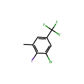 Cc1cc(C(F)(F)F)cc(Br)c1I